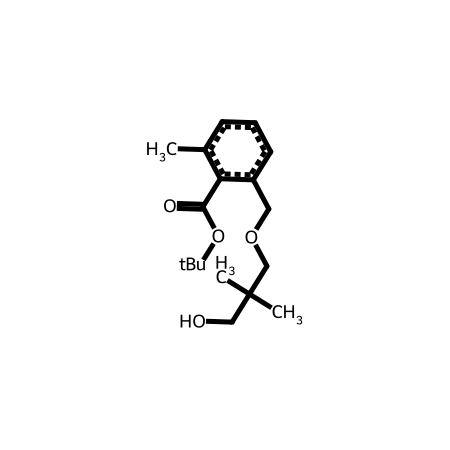 Cc1cccc(COCC(C)(C)CO)c1C(=O)OC(C)(C)C